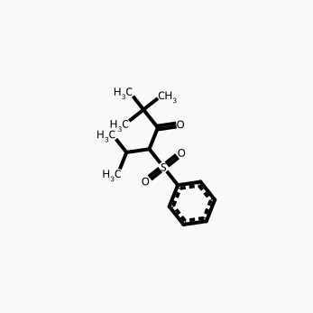 CC(C)C(C(=O)C(C)(C)C)S(=O)(=O)c1ccccc1